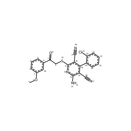 COc1cccc(C(=O)CSc2nc(N)c(C#N)c(-c3ccccc3Cl)c2C#N)c1